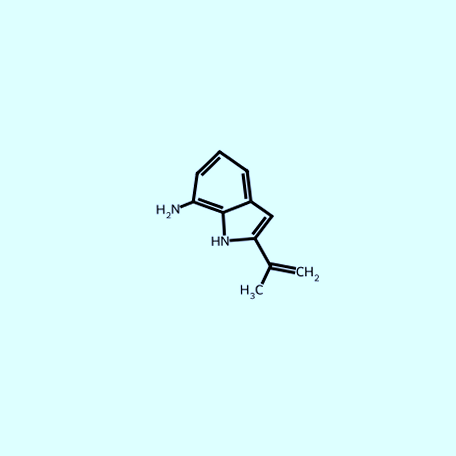 C=C(C)c1cc2cccc(N)c2[nH]1